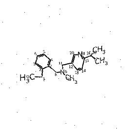 CCc1ccccc1CN(C)Cc1ccc(C(C)C)nc1